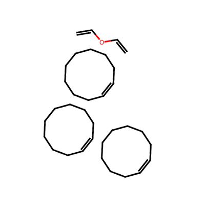 C1=CCCCCCCCC1.C1=CCCCCCCCC1.C1=CCCCCCCCC1.C=COC=C